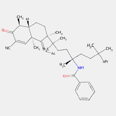 CCCC(C)(C)CC[C@@](C)(CCC(C)(C)[C@]1(C)CC[C@H]2[C@H](C)C(=O)C(C#N)=C[C@]2(C)/C1=C/C(C)=O)NC(=O)c1ccccc1